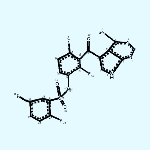 CC(C)c1ncnc2[nH]cc(C(=O)c3c(F)ccc(NS(=O)(=O)c4cc(F)ccc4F)c3F)c12